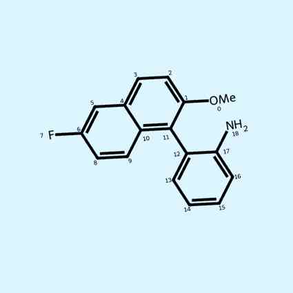 COc1ccc2cc(F)ccc2c1-c1ccccc1N